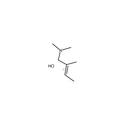 C/C=C(\C)CN(C)C.Cl